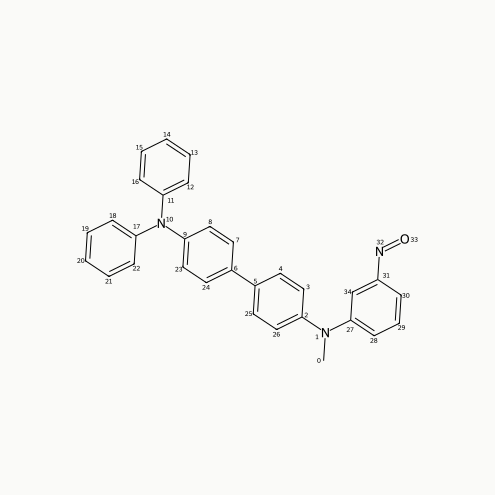 CN(c1ccc(-c2ccc(N(c3ccccc3)c3ccccc3)cc2)cc1)c1cccc(N=O)c1